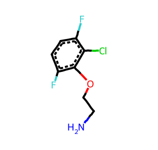 NCCOc1c(F)ccc(F)c1Cl